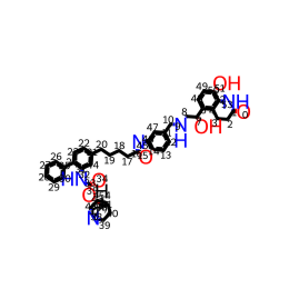 O=C1CCc2c(C(O)CNCc3ccc4oc(CCCCc5ccc(-c6ccccc6)c(NC(=O)O[C@H]6CN7CCC6CC7)c5)nc4c3)ccc(O)c2N1